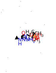 CC(C)C(OCCn1c(N)nc(NC2CC2)cc1=O)(C(C)C)P(=O)(O)O